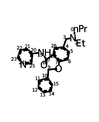 CCCN(CC)Cc1ccc(OCc2ccccc2)c(C(=O)Nc2cccnc2)c1